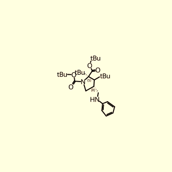 CC(C)(C)OC(=O)N1C[C@@H](CNc2ccccc2)C(C(C)(C)C)[C@@]1(C(=O)OC(C)(C)C)C(C)(C)C